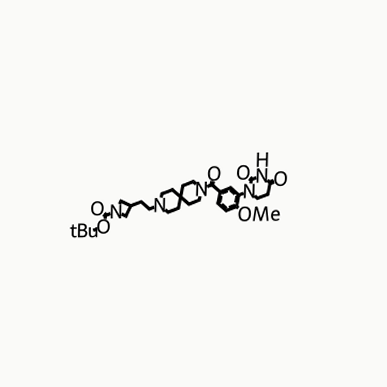 COc1ccc(C(=O)N2CCC3(CCN(CCC4CN(C(=O)OC(C)(C)C)C4)CC3)CC2)cc1N1CCC(=O)NC1=O